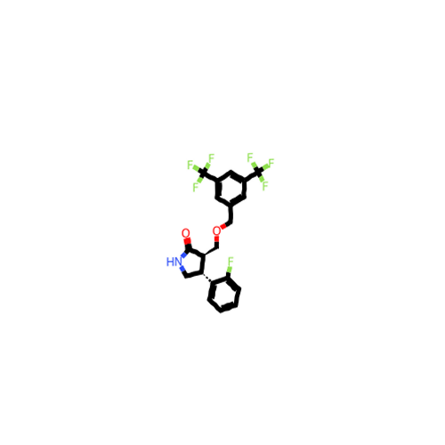 O=C1NC[C@@H](c2ccccc2F)[C@@H]1COCc1cc(C(F)(F)F)cc(C(F)(F)F)c1